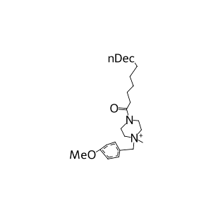 CCCCCCCCCCCCCCCC(=O)N1CC[N+](C)(Cc2ccc(OC)cc2)CC1